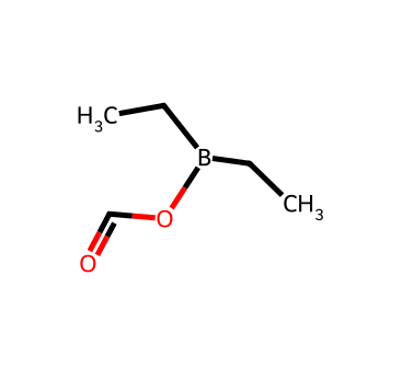 CCB(CC)OC=O